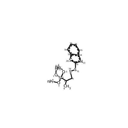 CCCO[Si](OCCC)(OCCC)C(C)CSSc1nc2ccccc2s1